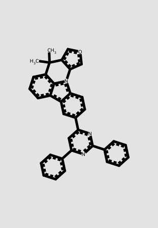 CC1(C)c2cocc2-n2c3ccc(-c4cc(-c5ccccc5)nc(-c5ccccc5)n4)cc3c3cccc1c32